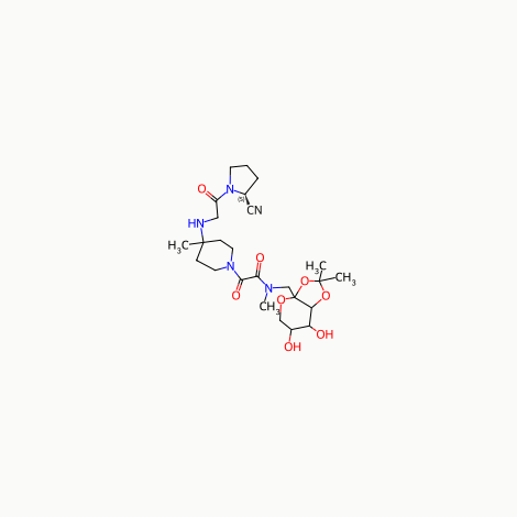 CN(CC12OCC(O)C(O)C1OC(C)(C)O2)C(=O)C(=O)N1CCC(C)(NCC(=O)N2CCC[C@H]2C#N)CC1